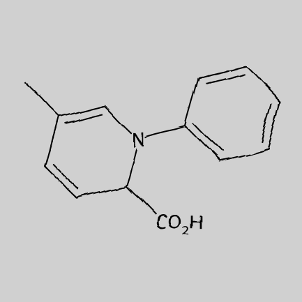 CC1=CN(c2ccccc2)C(C(=O)O)C=C1